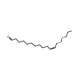 CCCCCC/C=C\CCCCCCCCCC=O